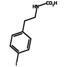 O=C(O)NCCc1ccc(I)cc1